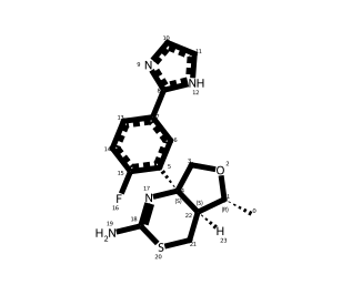 C[C@H]1OC[C@]2(c3cc(-c4ncc[nH]4)ccc3F)N=C(N)SC[C@H]12